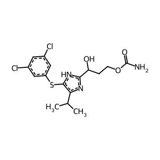 CC(C)c1nc(C(O)CCOC(N)=O)[nH]c1Sc1cc(Cl)cc(Cl)c1